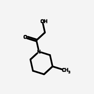 CC1CCCN(C(=O)CO)C1